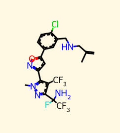 C=C(C)CNCc1cc(-c2cc(-c3c(C(F)(F)F)c(C(N)(F)C(F)(F)F)nn3C)no2)ccc1Cl